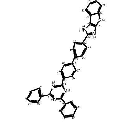 c1ccc(-c2nc(-c3ccccc3)nc(-c3ccc(-c4ccc(-c5nc6sc7ccccc7c6[nH]5)cc4)cc3)n2)cc1